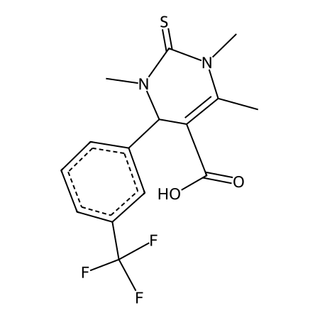 CC1=C(C(=O)O)C(c2cccc(C(F)(F)F)c2)N(C)C(=S)N1C